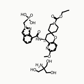 CCOC(=O)N1CCC2(CC1)C[C@H](NC(=O)c1cccc3cn(CP(=O)(O)O)nc13)c1nc(OC)ccc1O2.NC(CO)(CO)CO